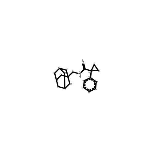 O=C(NCC12CC3CC(CC(C3)C1)C2)C1(c2ccccc2)CC1